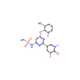 CCCS(=O)(=O)Nc1cc(Oc2c(C)cccc2C#N)nc(-c2cc(C)c(=O)n(C)c2)n1